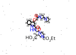 CCOC(=O)N1CCN(C(=O)[C@H](CCC(=O)O)NC(=O)c2cc(OCC(=O)N3CCC(N4CCCC4)C3)c3ccccc3n2)CC1